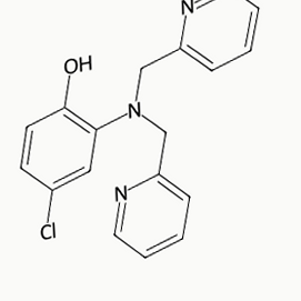 Oc1ccc(Cl)cc1N(Cc1ccccn1)Cc1ccccn1